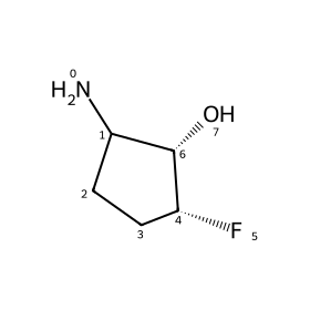 NC1CC[C@@H](F)[C@H]1O